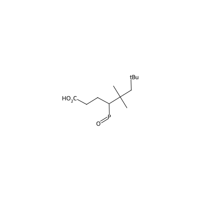 CC(C)(C)CC(C)(C)C(CCC(=O)O)P=O